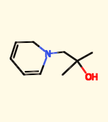 CC(C)(O)CN1C=CC=CC1